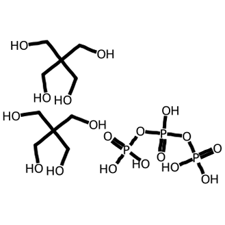 O=P(O)(O)OP(=O)(O)OP(=O)(O)O.OCC(CO)(CO)CO.OCC(CO)(CO)CO